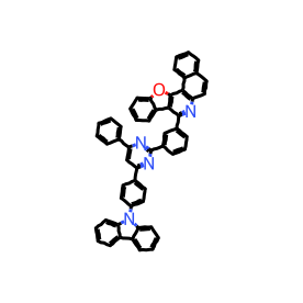 c1ccc(-c2cc(-c3ccc(-n4c5ccccc5c5ccccc54)cc3)nc(-c3cccc(-c4nc5ccc6ccccc6c5c5oc6ccccc6c45)c3)n2)cc1